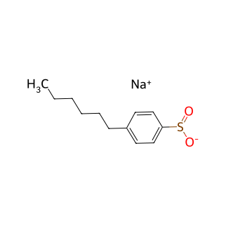 CCCCCCc1ccc(S(=O)[O-])cc1.[Na+]